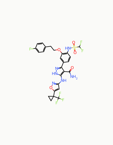 NC(=O)c1c(-c2ccc(NS(=O)(=O)C(F)F)c(OCCc3ccc(F)cc3)c2)n[nH]c1Nc1cc(C2(C(F)(F)F)CC2)on1